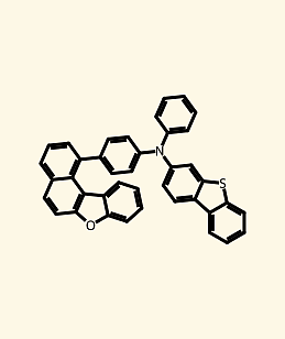 c1ccc(N(c2ccc(-c3cccc4ccc5oc6ccccc6c5c34)cc2)c2ccc3c(c2)sc2ccccc23)cc1